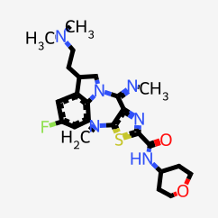 C=Nc1sc(C(=O)NC2CCOCC2)nc1/C(=N\C)N1CC(CCN(C)C)c2cc(F)ccc21